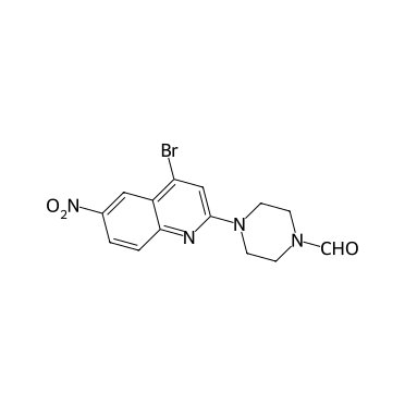 O=CN1CCN(c2cc(Br)c3cc([N+](=O)[O-])ccc3n2)CC1